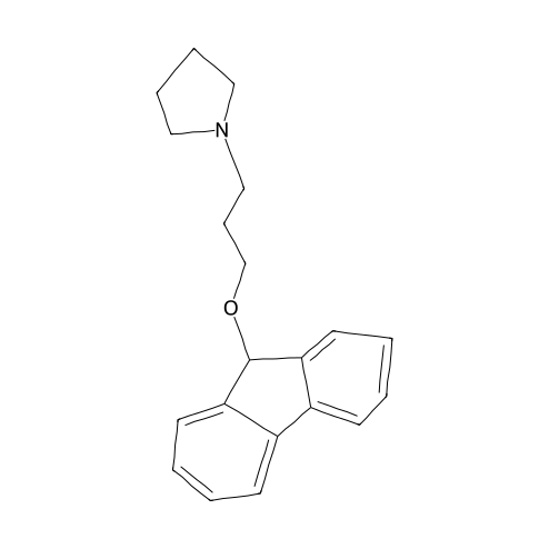 c1ccc2c(c1)-c1ccccc1C2OCCCN1CCCC1